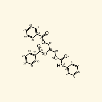 O=C(Nc1ccccc1)OCC(COC(=O)c1ccccc1)OC(=O)c1ccccc1